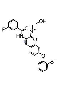 O=C(NCCO)/C(=C\c1ccc(Oc2ccccc2Br)cc1)NC(=O)c1cccc(F)c1